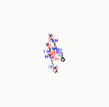 C[C@H](NC(=O)[C@@H](NC(=O)[C@H](CCCCNC(=O)OC(C)(C)C)NC(=O)N1CCC(C)(c2ccccc2)CC1)[C@@H](C)OC(C)(C)C)C(=O)N[C@@H](CCCCNC(=O)OC(C)(C)C)C(=O)O